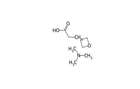 C1COC1.CCC(=O)O.CN(C)C